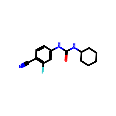 N#Cc1ccc(NC(=O)NC2CCCCC2)cc1F